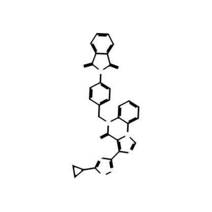 O=C1c2ccccc2C(=O)N1c1ccc(Cn2c(=O)c3c(-c4noc(C5CC5)n4)ncn3c3ccccc32)cc1